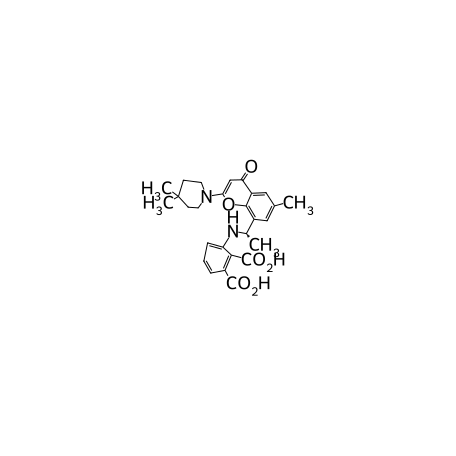 Cc1cc([C@@H](C)Nc2cccc(C(=O)O)c2C(=O)O)c2oc(N3CCC(C)(C)CC3)cc(=O)c2c1